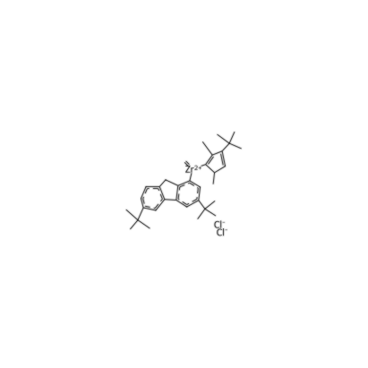 [CH2]=[Zr+2]([C]1=C(C)C(C(C)(C)C)=CC1C)[c]1cc(C(C)(C)C)cc2c1Cc1ccc(C(C)(C)C)cc1-2.[Cl-].[Cl-]